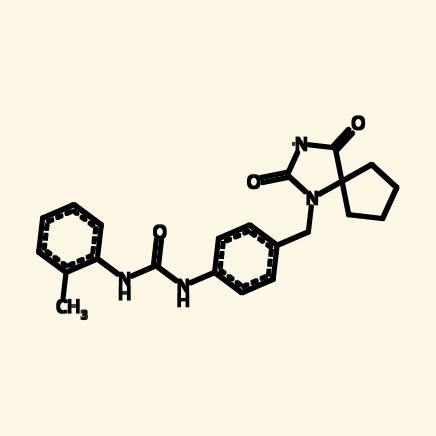 Cc1ccccc1NC(=O)Nc1ccc(CN2C(=O)[N]C(=O)C23CCCC3)cc1